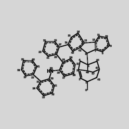 CC1C=C2CC3(C4c5ccccc5-c5ccc(-c6ccccc6-c6ccccc6Nc6ccccc6-c6ccccc6)cc54)CC(C1)CC23